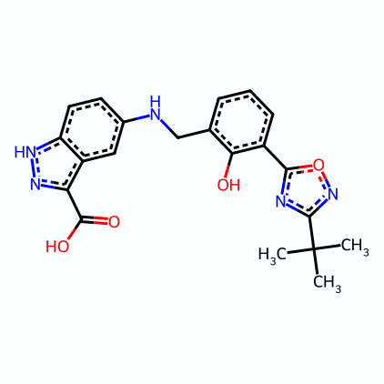 CC(C)(C)c1noc(-c2cccc(CNc3ccc4[nH]nc(C(=O)O)c4c3)c2O)n1